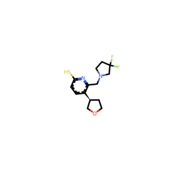 FC1(F)CCN(Cc2nc(S)ccc2[C@H]2CCOC2)C1